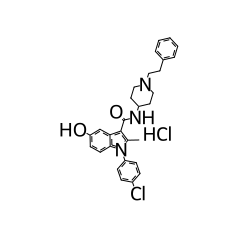 Cc1c(C(=O)NC2CCN(CCc3ccccc3)CC2)c2cc(O)ccc2n1-c1ccc(Cl)cc1.Cl